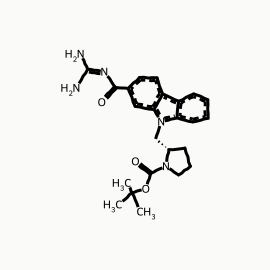 CC(C)(C)OC(=O)N1CCC[C@H]1Cn1c2ccccc2c2ccc(C(=O)N=C(N)N)cc21